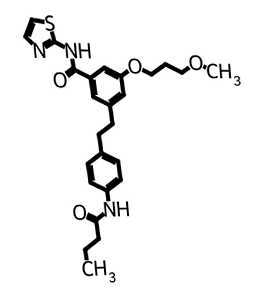 CCCC(=O)Nc1ccc(CCc2cc(OCCCOC)cc(C(=O)Nc3nccs3)c2)cc1